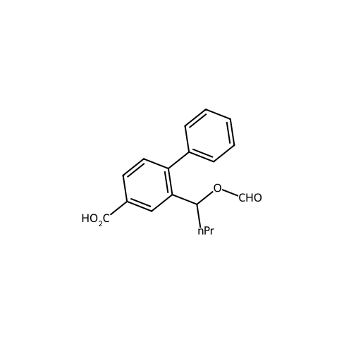 CCCC(OC=O)c1cc(C(=O)O)ccc1-c1ccccc1